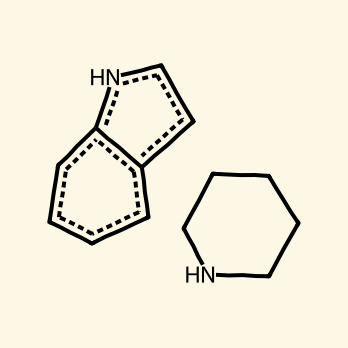 C1CCNCC1.c1ccc2[nH]ccc2c1